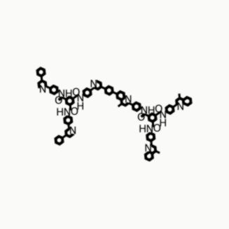 Cc1cc(-c2ccc(NC(=O)c3cc(C(=O)Nc4ccc(-c5cc(C)c6ccccc6n5)cc4)cc(C(=O)Nc4ccc(-c5cc(C)c6cc(-c7ccc(-c8ccnc(-c9ccc(NC(=O)c%10cc(C(=O)Nc%11ccc(-c%12cc(-c%13ccccc%13)ccn%12)cc%11)cc(C(=O)Nc%11ccc(-c%12cc(-c%13ccccc%13)ccn%12)cc%11)c%10)cc9)c8)cc7)ccc6n5)cc4)c3)cc2)nc2ccccc12